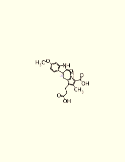 COc1ccc2c(c1)NC(=O)/C2=C\c1[nH]c(C(=O)O)c(C)c1CCC(=O)O